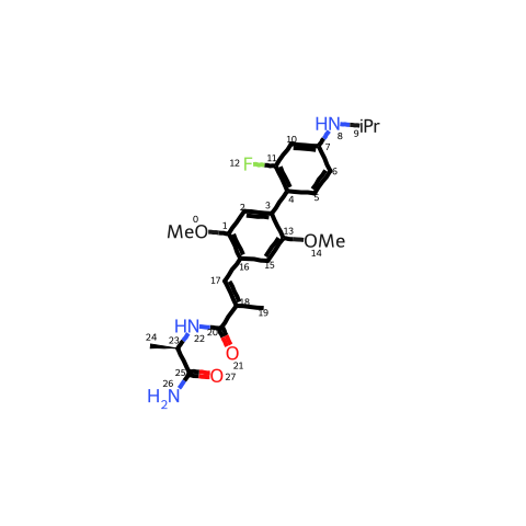 COc1cc(-c2ccc(NC(C)C)cc2F)c(OC)cc1/C=C(\C)C(=O)N[C@H](C)C(N)=O